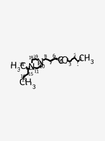 CCCCOCCCCN1CCN(C(C)CCC)CC1